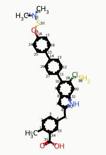 Cc1ccc(Cc2cc3cc(-c4ccc(-c5ccc(OSN(C)C)cc5)cc4)c(Cl)cc3[nH]2)cc1C(=O)O.S